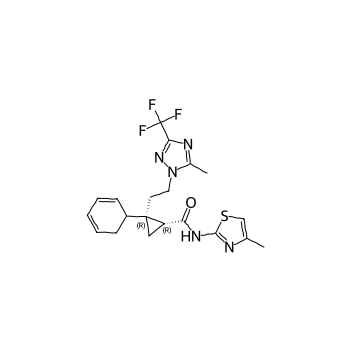 Cc1csc(NC(=O)[C@@H]2C[C@@]2(CCn2nc(C(F)(F)F)nc2C)C2C=CC=CC2)n1